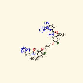 N=c1ccc(C(=O)Nc2cc(OCCCCOc3cc(NC(=O)c4ccc5nnnn5n4)c(C(=O)O)cc3F)c(F)cc2C(=O)O)nn1NN